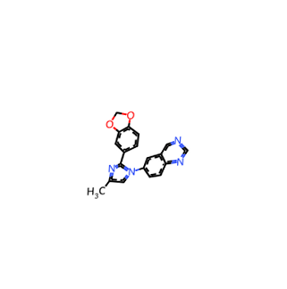 Cc1cn(-c2ccc3ncncc3c2)c(-c2ccc3c(c2)OCO3)n1